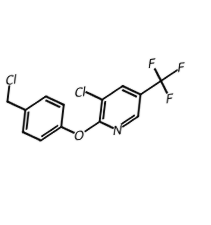 FC(F)(F)c1cnc(Oc2ccc(CCl)cc2)c(Cl)c1